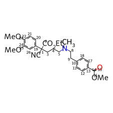 CCOC(=O)C(C#N)(CCCN(C)CCc1ccc(C(=O)OC)cc1)c1ccc(OC)c(OC)c1